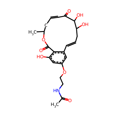 CC(=O)NCCOc1cc(O)c2c(c1)/C=C/CC(O)C(O)C(=O)/C=C\CC(C)OC2=O